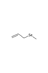 C=CC[Se]C